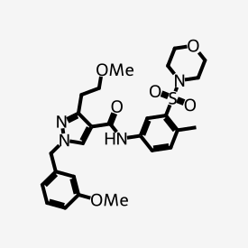 COCCc1nn(Cc2cccc(OC)c2)cc1C(=O)Nc1ccc(C)c(S(=O)(=O)N2CCOCC2)c1